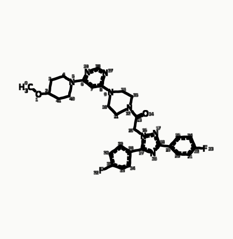 COC1CCN(c2cc(N3CCN(C(=O)Cn4nc(-c5ccc(F)cc5)nc4-c4ccc(F)cc4)CC3)ncn2)CC1